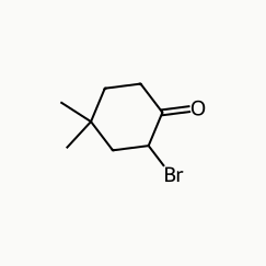 CC1(C)CCC(=O)C(Br)C1